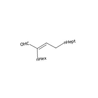 CCCCCCCCC=C(C=O)CCCCCC